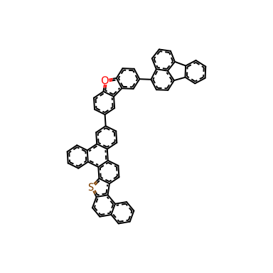 c1ccc2c(c1)-c1cccc3c(-c4ccc5oc6ccc(-c7ccc8c(c7)c7ccccc7c7c8ccc8c7sc7ccc9ccccc9c78)cc6c5c4)ccc-2c13